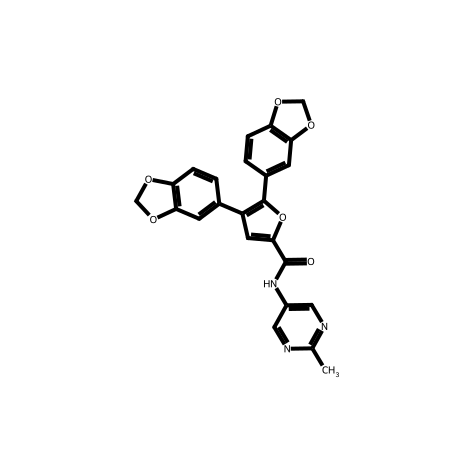 Cc1ncc(NC(=O)c2cc(-c3ccc4c(c3)OCO4)c(-c3ccc4c(c3)OCO4)o2)cn1